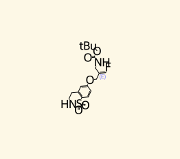 CC(C)(C)OC(=O)NC/C(=C\F)COc1ccc2c(c1)CCNS2(=O)=O